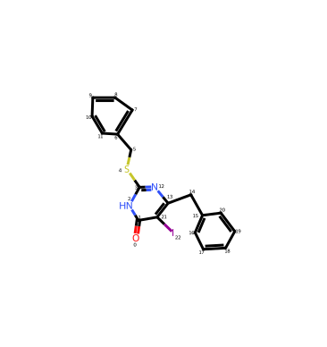 O=c1[nH]c(SCc2ccccc2)nc(Cc2ccccc2)c1I